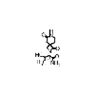 C[C@@H](O)[C@@H](C(N)=O)N1CC2(CCNC(=O)C2)C1=O